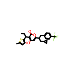 CCC(c1ccc(C)s1)c1c(O)cc(C(Cc2ccc(C(F)(F)F)cc2)CC2CC2)oc1=O